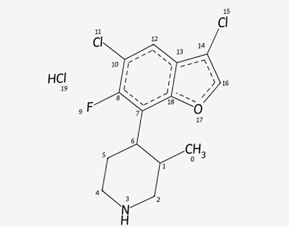 CC1CNCCC1c1c(F)c(Cl)cc2c(Cl)coc12.Cl